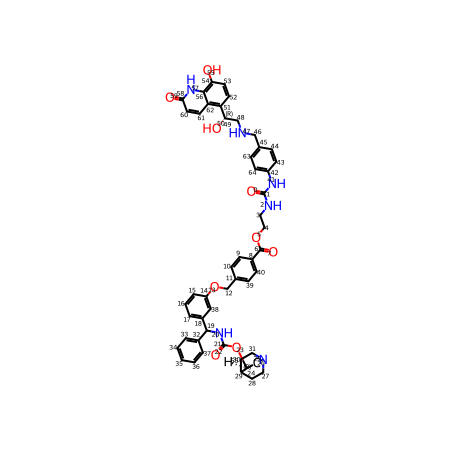 O=C(NCCOC(=O)c1ccc(COc2cccc(C(NC(=O)O[C@H]3CN4CCC3CC4)c3ccccc3)c2)cc1)Nc1ccc(CNC[C@H](O)c2ccc(O)c3[nH]c(=O)ccc23)cc1